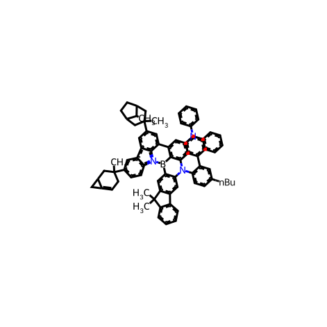 CCCCc1ccc(N2c3cc4c(cc3B3c5c(cc(N(c6ccccc6)c6ccccc6)cc52)-c2cc(C5(C)CC6CCC(C5)C6C)cc5c6cc(C7(C)CC=C8CC8C7)ccc6n3c25)C(C)(C)c2ccccc2-4)c(-c2ccccc2)c1